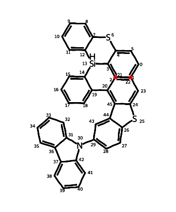 c1ccc2c(c1)Sc1ccccc1[SiH]2c1ccccc1-c1cccc2sc3ccc(-n4c5ccccc5c5ccccc54)cc3c12